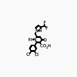 CCn1c(Cn2ccc(C(F)F)n2)cc(=O)c(C(=O)O)c1-c1ccc(Cl)c(Cl)c1